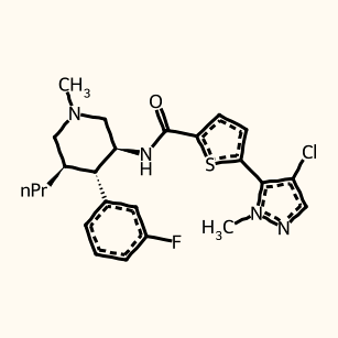 CCC[C@H]1CN(C)C[C@@H](NC(=O)c2ccc(-c3c(Cl)cnn3C)s2)[C@@H]1c1cccc(F)c1